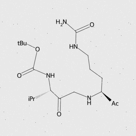 CC(=O)[C@H](CCCNC(N)=O)NCC(=O)[C@@H](NC(=O)OC(C)(C)C)C(C)C